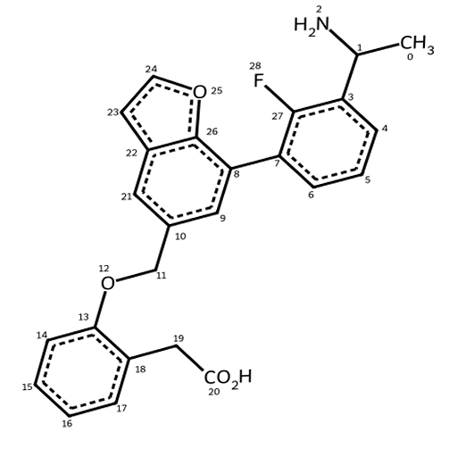 CC(N)c1cccc(-c2cc(COc3ccccc3CC(=O)O)cc3ccoc23)c1F